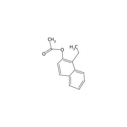 CCc1c(OC(C)=O)ccc2ccccc12